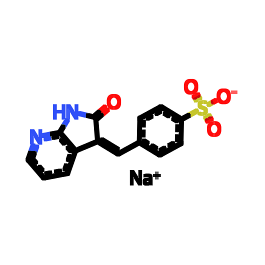 O=C1Nc2ncccc2C1=Cc1ccc(S(=O)(=O)[O-])cc1.[Na+]